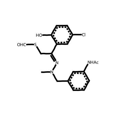 CC(=O)Nc1cccc(CN(C)/N=C(\CSC=O)c2cc(Cl)ccc2O)c1